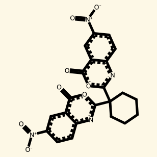 O=c1oc(C2(c3nc4ccc([N+](=O)[O-])cc4c(=O)o3)CCCCC2)nc2ccc([N+](=O)[O-])cc12